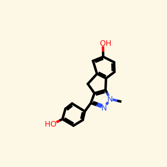 Cn1nc(-c2ccc(O)cc2)c2c1-c1ccc(O)cc1C2